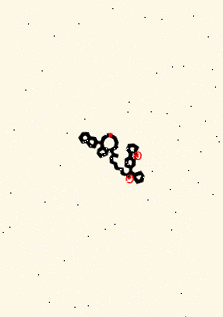 C=C(\C=C/C=C/C=C/c1oc2ccccc2c1-c1ccc2c(c1)oc1ccccc12)c1ccccccc(-c2ccc3ccccc3c2)c2ccccc12